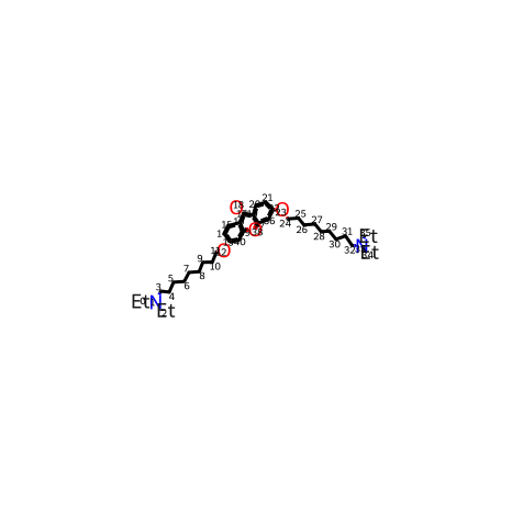 CCN(CC)CCCCCCCCCOc1ccc2c(=O)c3ccc(OCCCCCCCCCN(CC)CC)cc3oc2c1